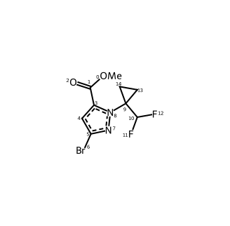 COC(=O)c1cc(Br)nn1C1(C(F)F)CC1